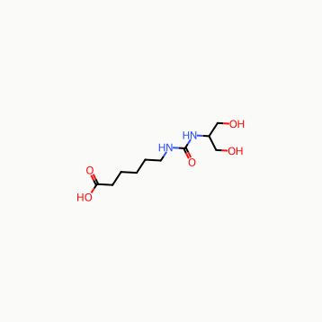 O=C(O)CCCCCNC(=O)NC(CO)CO